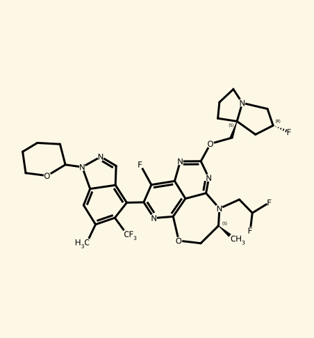 Cc1cc2c(cnn2C2CCCCO2)c(-c2nc3c4c(nc(OC[C@@]56CCCN5C[C@H](F)C6)nc4c2F)N(CC(F)F)[C@@H](C)CO3)c1C(F)(F)F